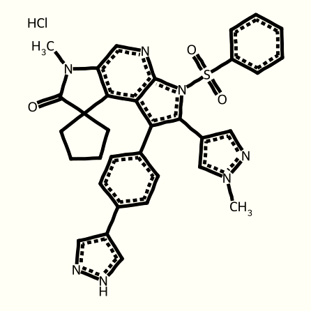 CN1C(=O)C2(CCCC2)c2c1cnc1c2c(-c2ccc(-c3cn[nH]c3)cc2)c(-c2cnn(C)c2)n1S(=O)(=O)c1ccccc1.Cl